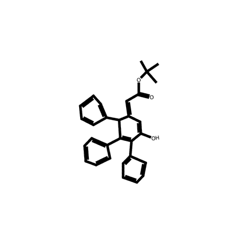 CC(C)(C)OC(=O)C=C1C=C(O)C(c2ccccc2)=C(c2ccccc2)C1c1ccccc1